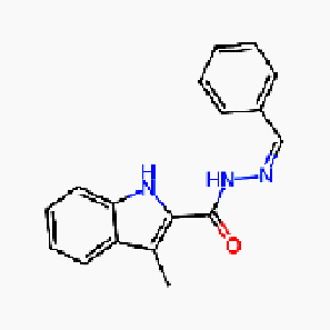 Cc1c(C(=O)N/N=C\c2ccccc2)[nH]c2ccccc12